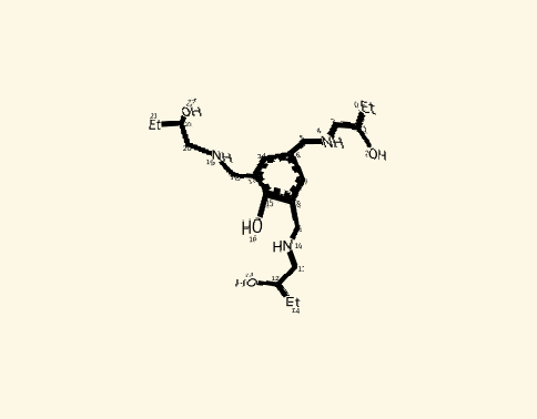 CCC(O)CNCc1cc(CNCC(O)CC)c(O)c(CNCC(O)CC)c1